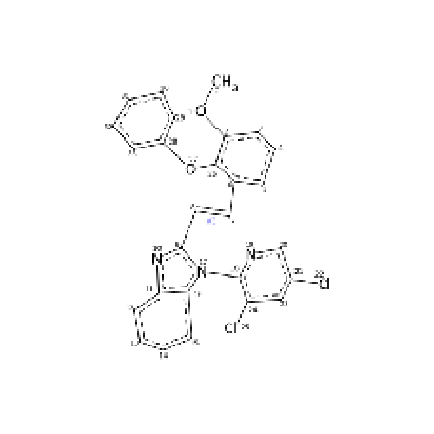 COc1cccc(/C=C/c2nc3ccccc3n2-c2ncc(Cl)cc2Cl)c1Oc1ccccc1